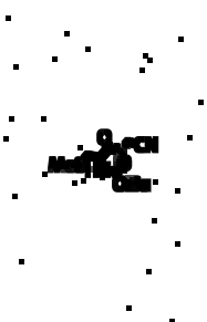 CSCC(NC(=O)OCC(C)C)C(=O)NCC#N